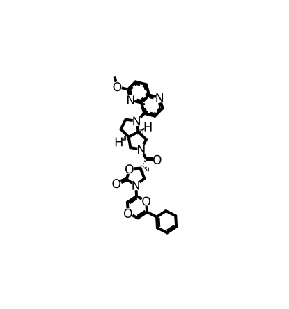 COc1ccc2nccc(N3CC[C@@H]4CN(C(=O)[C@@H]5CN(C6=COC=C(C7=CC=CCC7)O6)C(=O)O5)C[C@@H]43)c2n1